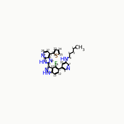 CCCCCNc1cncc(-c2ccc3[nH]nc(-c4nc5c(-c6cccs6)ccnc5[nH]4)c3c2F)c1